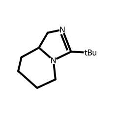 CC(C)(C)C1=NCC2CCCCN12